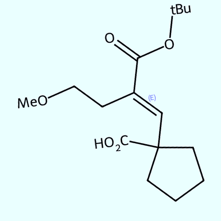 COCC/C(=C\C1(C(=O)O)CCCC1)C(=O)OC(C)(C)C